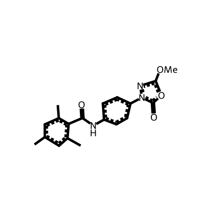 COc1nn(-c2ccc(NC(=O)c3c(C)cc(C)cc3C)cc2)c(=O)o1